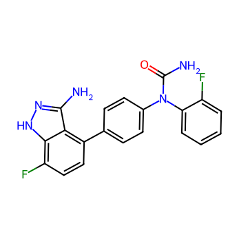 NC(=O)N(c1ccc(-c2ccc(F)c3[nH]nc(N)c23)cc1)c1ccccc1F